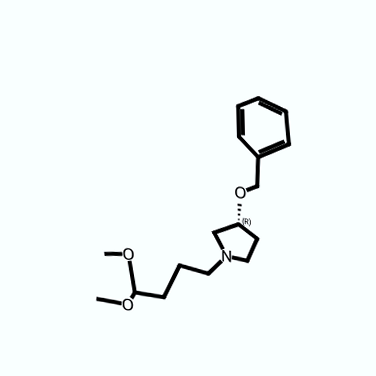 COC(CCCN1CC[C@@H](OCc2ccccc2)C1)OC